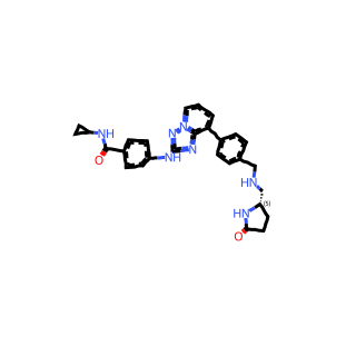 O=C1CC[C@@H](CNCc2ccc(-c3cccn4nc(Nc5ccc(C(=O)NC6CC6)cc5)nc34)cc2)N1